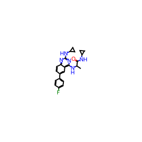 CC(Nc1nc(NC2CC2)nc2ccc(-c3ccc(F)cc3)cc12)C(=O)NC1CC1